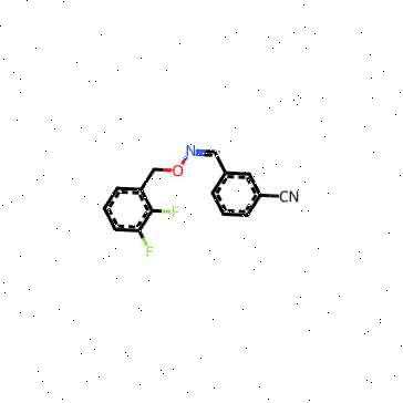 N#Cc1cccc(/[C]=N\OCc2cccc(F)c2F)c1